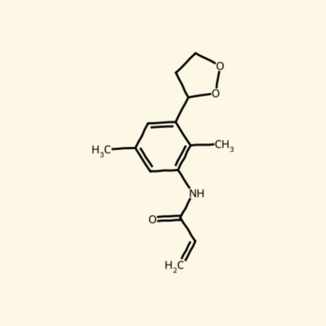 C=CC(=O)Nc1cc(C)cc(C2CCOO2)c1C